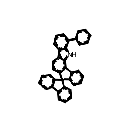 c1ccc(-c2cccc3c2[nH]c2c4c(ccc23)C2(c3ccccc3-c3ccccc32)c2ccccc2-4)cc1